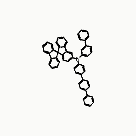 c1ccc(-c2ccc(-c3ccc(N(c4cccc(-c5ccccc5)c4)c4ccc5c(c4)-c4ccccc4C54c5ccccc5-c5ccccc54)cc3)cc2)cc1